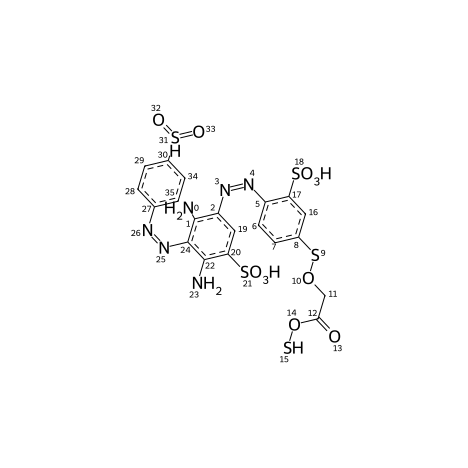 Nc1c(/N=N\c2ccc(SOCC(=O)OS)cc2S(=O)(=O)O)cc(S(=O)(=O)O)c(N)c1/N=N\c1ccc([SH](=O)=O)cc1